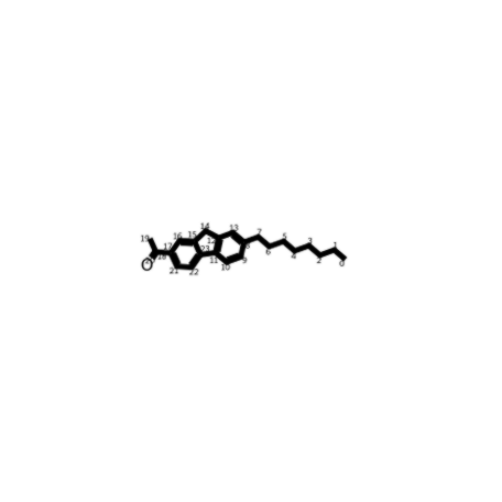 CCCCCCCCc1ccc2c(c1)Cc1cc(C(C)=O)ccc1-2